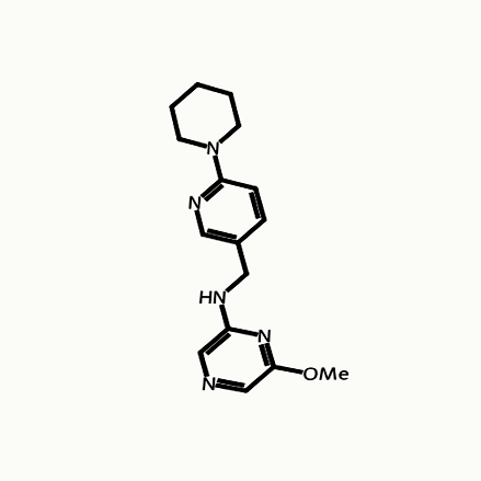 COc1cncc(NCc2ccc(N3CCCCC3)nc2)n1